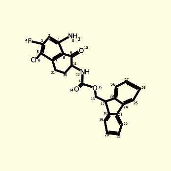 Nc1cc(F)c(Cl)c2c1C(=O)C(NC(=O)OCC1c3ccccc3-c3ccccc31)CC2